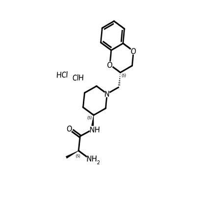 C[C@H](N)C(=O)N[C@H]1CCCN(C[C@H]2COc3ccccc3O2)C1.Cl.Cl